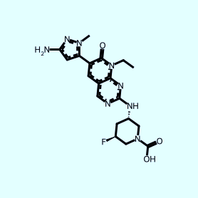 CCn1c(=O)c(-c2cc(N)nn2C)cc2cnc(N[C@H]3C[C@H](F)CN(C(=O)O)C3)nc21